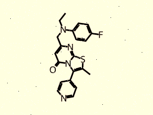 CCN(Cc1cc(=O)n2c(-c3ccncc3)c(C)sc2n1)c1ccc(F)cc1